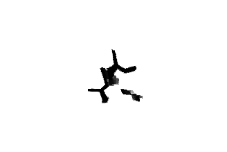 C[CH](C)[Ge+2][CH](C)C.[Br-].[Br-]